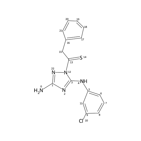 Nc1nc(Nc2cccc(Cl)c2)n(C(=S)Cc2ccccc2)n1